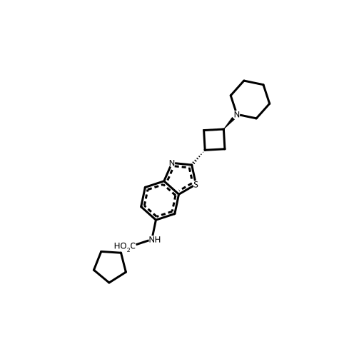 C1CCCC1.O=C(O)Nc1ccc2nc([C@H]3C[C@H](N4CCCCC4)C3)sc2c1